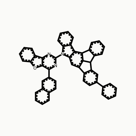 c1ccc(-c2ccc3c(c2)C2c4ccccc4-c4c2c-3cc2c4c3ccccc3n2-c2nc(-c3ccc4ccccc4c3)c3oc4ccccc4c3n2)cc1